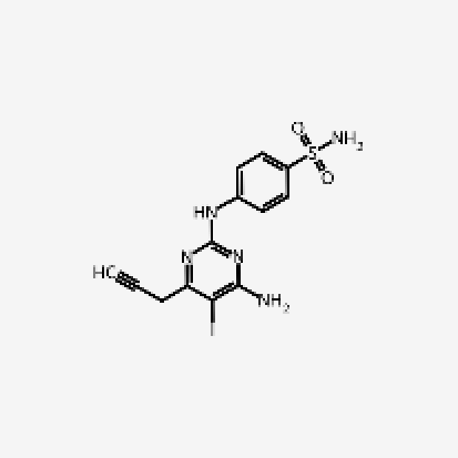 C#CCc1nc(Nc2ccc(S(N)(=O)=O)cc2)nc(N)c1I